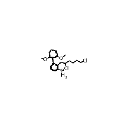 COc1cccc(OC)c1-c1cccc(P)c1CC(Cl)CCCCCl